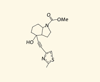 COC(=O)N1CCC2C1CCCC2(O)C#Cc1csc(C)n1